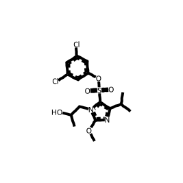 COc1nc(C(C)C)c(S(=O)(=O)Oc2cc(Cl)cc(Cl)c2)n1CC(C)O